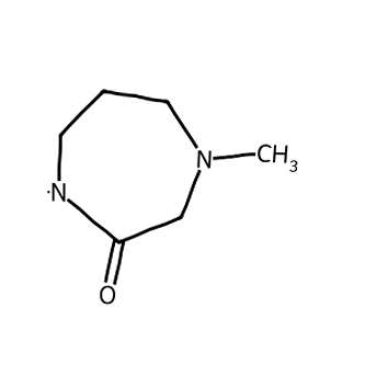 CN1CCC[N]C(=O)C1